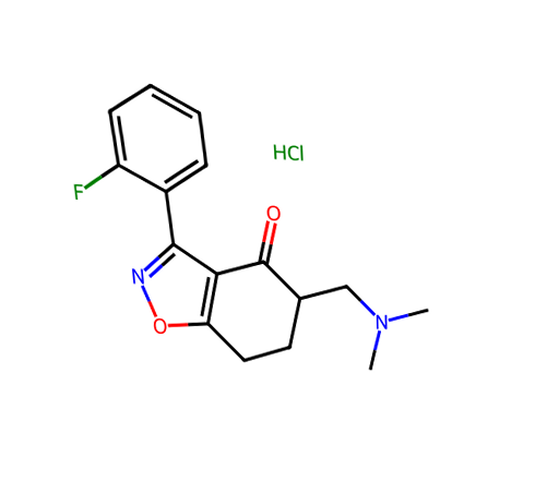 CN(C)CC1CCc2onc(-c3ccccc3F)c2C1=O.Cl